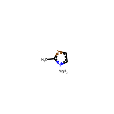 [CH2]c1nccs1.[MgH2]